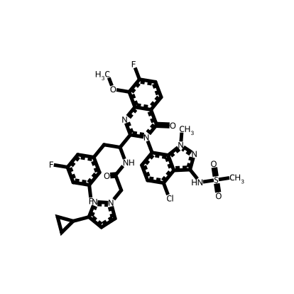 COc1c(F)ccc2c(=O)n(-c3ccc(Cl)c4c(NS(C)(=O)=O)nn(C)c34)c(C(Cc3cc(F)cc(F)c3)NC(=O)Cn3ccc(C4CC4)n3)nc12